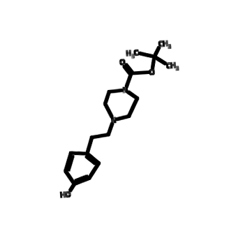 CC(C)(C)OC(=O)N1CCN(CCc2ccc(O)cc2)CC1